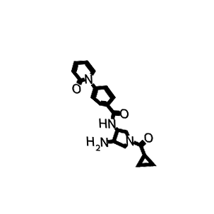 NC1CN(C(=O)C2CC2)CC1NC(=O)c1ccc(-n2ccccc2=O)cc1